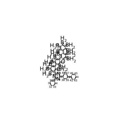 Bc1c(B)c(B)c(-c2c(B)c(B)c3oc4c(B)c(-c5c(B)c(B)c(B)c(-c6nc(-c7ccccc7)nc(-c7ccc(-c8ccccc8)cc7)n6)c5B)c(B)c(B)c4c3c2B)c(B)c1B